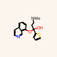 CNCC[C@@](O)(Oc1cccc2ccncc12)c1cccs1